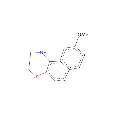 COc1ccc2ncc3c(c2c1)NCCO3